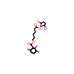 O=C(CCCCCOC(=O)c1c(I)ccc(I)c1I)ON1C(=O)CCC1=O